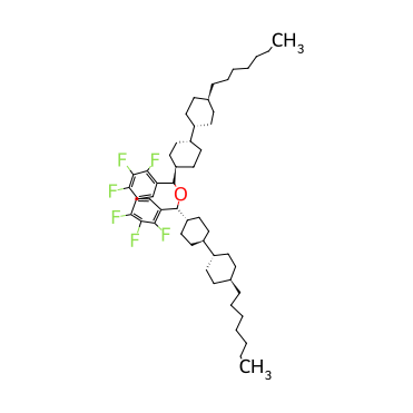 CCCCCCC[C@H]1CC[C@H]([C@H]2CC[C@H](C(OC(c3ccc(F)c(F)c3F)[C@H]3CC[C@H]([C@H]4CC[C@H](CCCCCCC)CC4)CC3)c3ccc(F)c(F)c3F)CC2)CC1